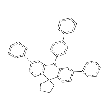 c1ccc(-c2ccc(N3c4cc(-c5ccccc5)ccc4C4(CCCC4)c4ccc(-c5ccccc5)cc43)cc2)cc1